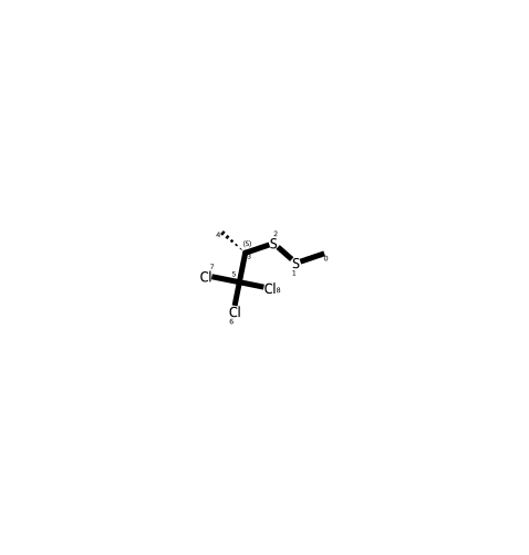 CSS[C@@H](C)C(Cl)(Cl)Cl